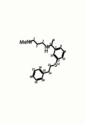 CNCCCNC(C)c1cccc(SCCc2ccccc2)c1